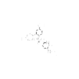 Cc1ccc(S(=O)(=O)Oc2ccc([N+](=O)[O-])cn2)c(C2CCNCC2)c1